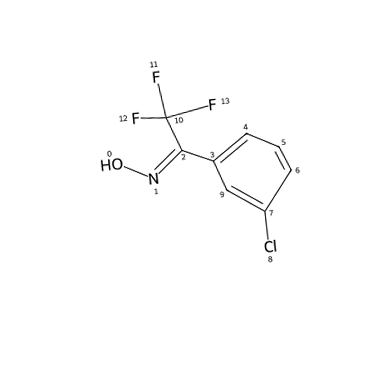 ON=C(c1cccc(Cl)c1)C(F)(F)F